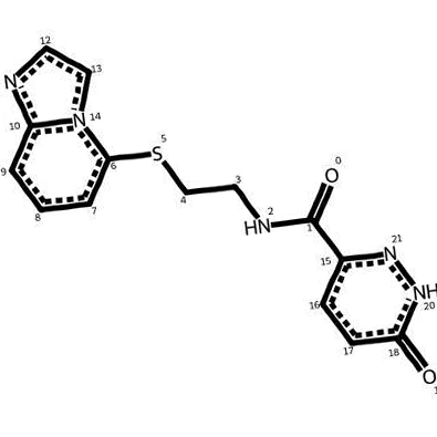 O=C(NCCSc1cccc2nccn12)c1ccc(=O)[nH]n1